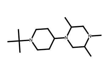 CC1CN(C2CCN(C(C)(C)C)CC2)C(C)CN1C